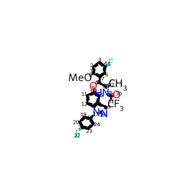 COc1ccc(F)cc1[C@@H](Oc1ccc2c(cnn2-c2ccc(F)cc2)c1)[C@H](C)NC(=O)C(F)(F)F